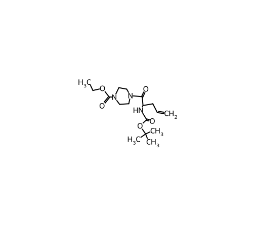 C=CCC(NC(=O)OC(C)(C)C)C(=O)N1CCN(C(=O)OCC)CC1